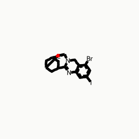 Brc1cc(I)cc2c1CN1C(=N2)C2CC3CC(C2)CC1C3